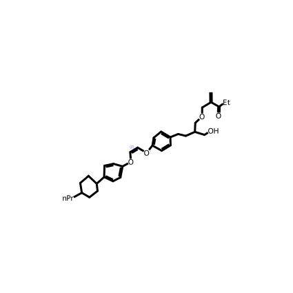 C=C(COCC(CO)CCc1ccc(O/C=C\Oc2ccc(C3CCC(CCC)CC3)cc2)cc1)C(=O)CC